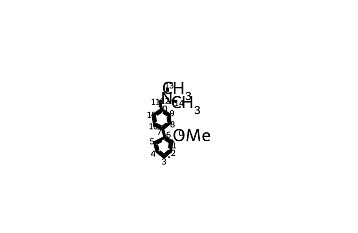 COc1c[c]ccc1-c1ccc(CN(C)C)cc1